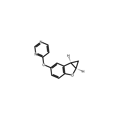 c1cc(Oc2ccc3c(c2)[C@H]2C[C@H]2O3)ncn1